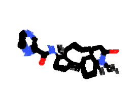 CN1C(=O)C=C[C@@]23/C=C/CC[C@]4(C)[C@@H](NC(=O)c5cnccn5)CC[C@H]4[C@H](CC[C@@H]12)C3